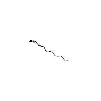 [CH2]CCCCCCCC=C